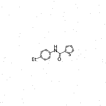 CCc1ccc(NC(=O)c2cccs2)cc1